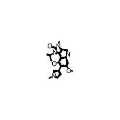 C=C1COc2c(-c3ccn(C)c3)c(OC)cc3ncc4c(c23)n1c(=O)n4C